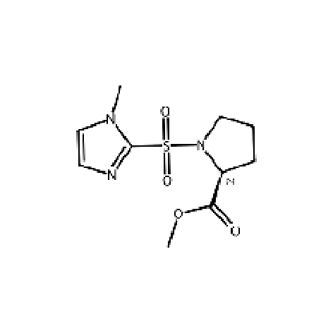 COC(=O)[C@@H]1CCCN1S(=O)(=O)c1nccn1C